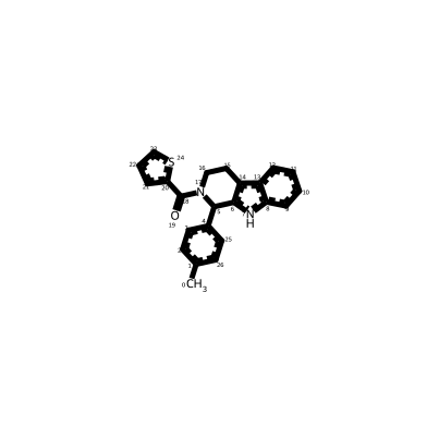 Cc1ccc(C2c3[nH]c4ccccc4c3CCN2C(=O)c2cccs2)cc1